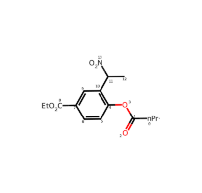 CC[CH]C(=O)Oc1ccc(C(=O)OCC)cc1C(C)[N+](=O)[O-]